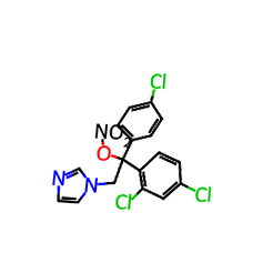 O=[N+]([O-])OC(Cn1ccnc1)(c1ccc(Cl)cc1)c1ccc(Cl)cc1Cl